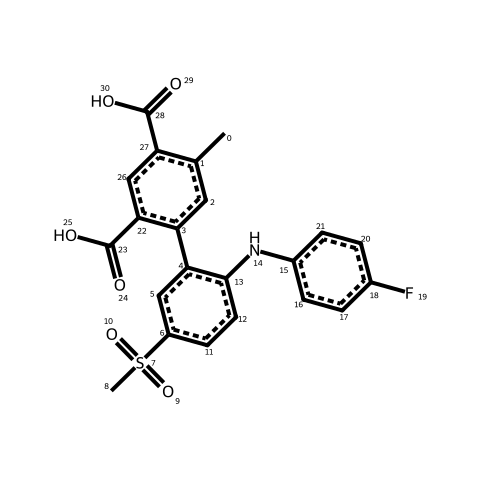 Cc1cc(-c2cc(S(C)(=O)=O)ccc2Nc2ccc(F)cc2)c(C(=O)O)cc1C(=O)O